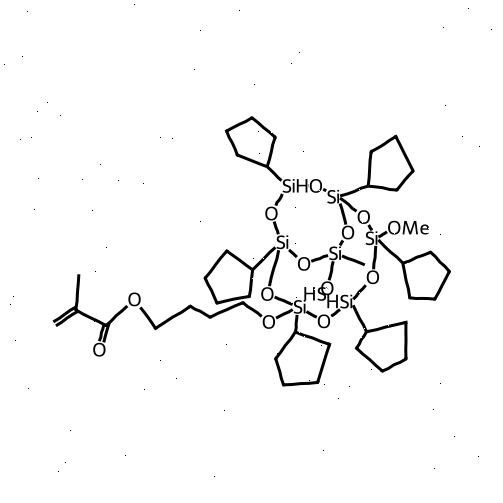 C=C(C)C(=O)OCCCCO[Si]1(C2CCCC2)O[SiH](C2CCCC2)O[Si](OC)(C2CCCC2)O[Si]2(C3CCCC3)O[SiH](C3CCCC3)O[Si](C3CCCC3)(O[Si](C)(OS)O2)O1